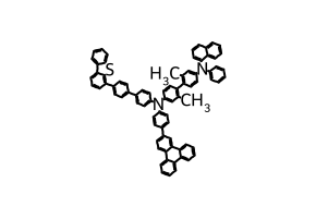 Cc1cc(N(c2ccc(-c3ccc(-c4cccc5c4sc4ccccc45)cc3)cc2)c2ccc(-c3ccc4c5ccccc5c5ccccc5c4c3)cc2)ccc1-c1ccc(N(c2ccccc2)c2cccc3ccccc23)cc1C